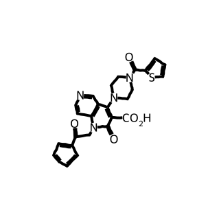 O=C(Cn1c(=O)c(C(=O)O)c(N2CCN(C(=O)c3cccs3)CC2)c2cnccc21)c1ccccc1